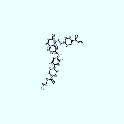 C=CC(=O)C1CCN(CCn2c(=O)ccc3cnc(Nc4ccc(N5CCN(C(=O)CCSC)CC5)cc4)nc32)CC1